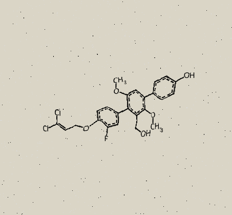 COc1cc(-c2ccc(O)cc2)c(OC)c(CO)c1-c1ccc(OCC=C(Cl)Cl)c(F)c1